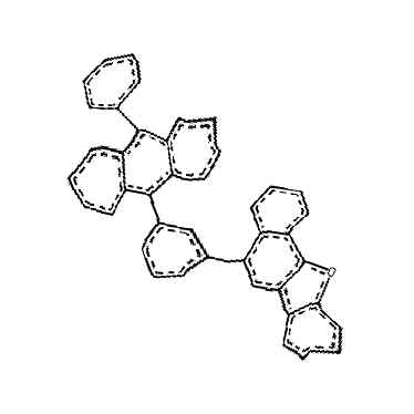 c1ccc(-c2c3ccccc3c(-c3cccc(-c4cc5c6ccccc6oc5c5ccccc45)c3)c3ccccc23)cc1